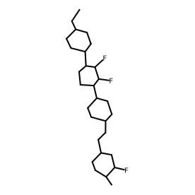 CCC1CCC(C2CCC(C3CCC(CCC4CCC(C)C(F)C4)CC3)C(F)C2F)CC1